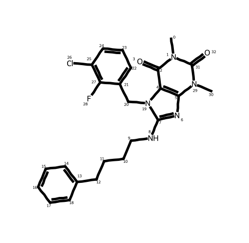 Cn1c(=O)c2c(nc(NCCCCc3ccccc3)n2Cc2cccc(Cl)c2F)n(C)c1=O